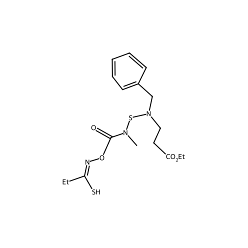 CCOC(=O)CCN(Cc1ccccc1)SN(C)C(=O)O/N=C(\S)CC